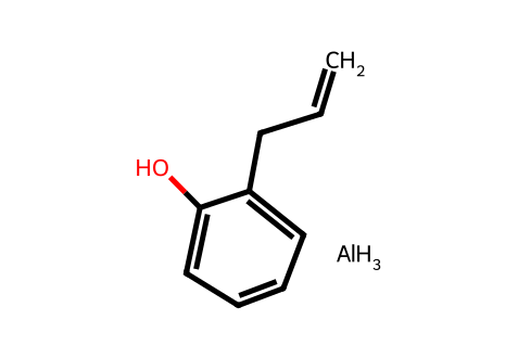 C=CCc1ccccc1O.[AlH3]